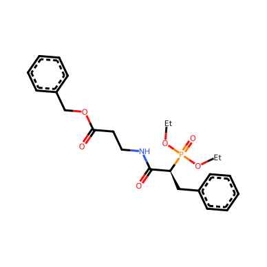 CCOP(=O)(OCC)[C@@H](Cc1ccccc1)C(=O)NCCC(=O)OCc1ccccc1